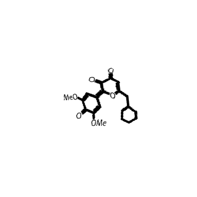 COC1=CC(=C2OC(CC3CCCCC3)=CC(=O)C2=O)C=C(OC)C1=O